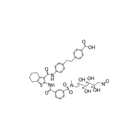 CN(C[C@H](O)[C@@H](O)[C@H](O)[C@H](O)CN=O)S(=O)(=O)c1cccc(C(=O)Nc2sc3c(c2C(=O)Nc2ccc(CCc4ccc(C(=O)O)cc4)cc2)CCCC3)c1